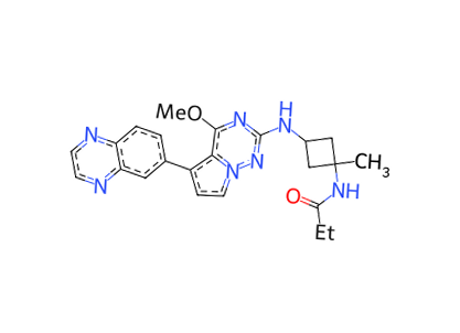 CCC(=O)NC1(C)CC(Nc2nc(OC)c3c(-c4ccc5nccnc5c4)ccn3n2)C1